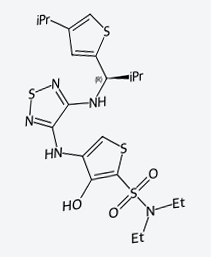 CCN(CC)S(=O)(=O)c1scc(Nc2nsnc2N[C@@H](c2cc(C(C)C)cs2)C(C)C)c1O